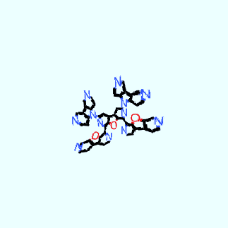 c1cc2c(cn1)oc1c(-c3nc(-n4c5ccncc5c5cnccc54)cc4c3oc3c(-c5nccc6c5oc5cnccc56)nc(-n5c6ccncc6c6cnccc65)cc34)nccc12